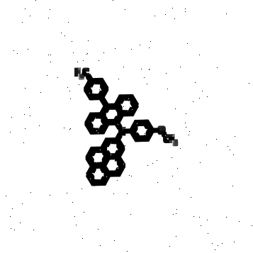 FC(F)(F)Oc1ccc(N(c2cc3ccc4cccc5ccc(c2)c3c45)c2c3ccccc3c(-c3ccc(C(F)(F)F)cc3)c3ccccc23)cc1